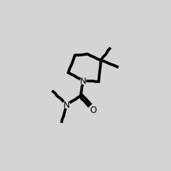 CN(C)C(=O)N1CCCC(C)(C)C1